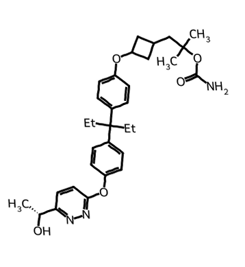 CCC(CC)(c1ccc(Oc2ccc([C@@H](C)O)nn2)cc1)c1ccc(OC2CC(CC(C)(C)OC(N)=O)C2)cc1